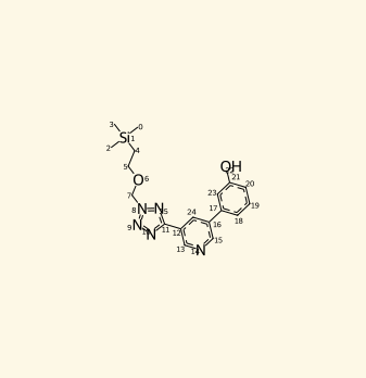 C[Si](C)(C)CCOCn1nnc(-c2cncc(-c3cccc(O)c3)c2)n1